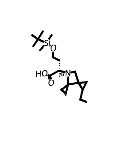 CCC1CC12CN([C@@H](CCO[Si](C)(C)C(C)(C)C)C(=O)O)C21CC1